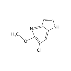 COc1nc2cc[nH]c2cc1Cl